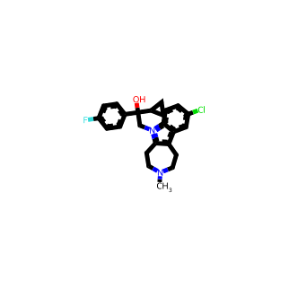 CN1CCc2c(n(CC(O)(c3ccc(F)cc3)C3CC3)c3ccc(Cl)cc23)CC1